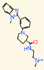 CN(C)CCNC(=O)[C@H]1CCCN(c2cccc(-c3nc4ccccc4n3C)c2)C1